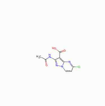 CC(=O)Nc1nn2ccc(Cl)nc2c1C(=O)O